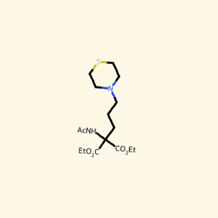 CCOC(=O)C(CCCN1CCSCC1)(NC(C)=O)C(=O)OCC